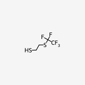 FC(F)(F)C(F)(F)SCCS